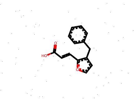 O=C(O)C=Cc1occc1Cc1ccccc1